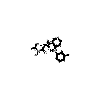 Cc1cccc(Nc2ccncc2S(=O)(=O)NC(=O)N(C)C(C)C)c1